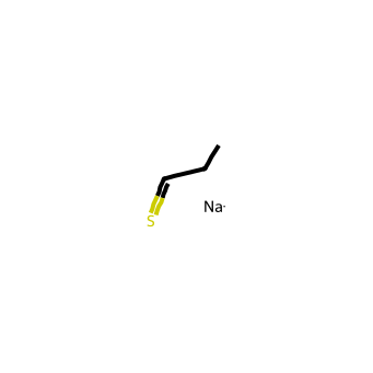 CCC=S.[Na]